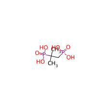 CC(C)(CP(=O)(O)O)P(=O)(O)O